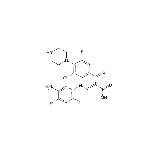 Nc1cc(-n2cc(C(=O)O)c(=O)c3cc(F)c(N4CCNCC4)c(Cl)c32)c(F)cc1F